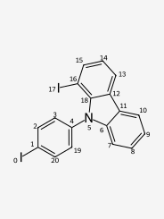 Ic1ccc(-n2c3ccccc3c3cccc(I)c32)cc1